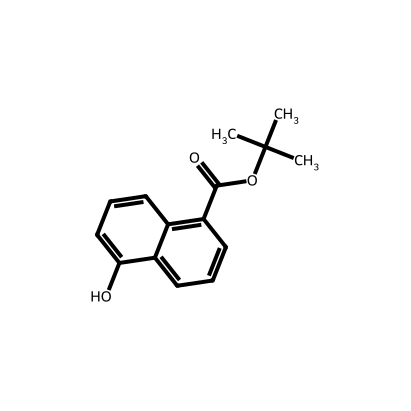 CC(C)(C)OC(=O)c1cccc2c(O)cccc12